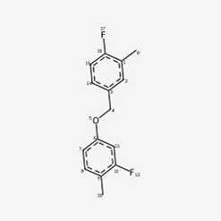 Cc1cc(COc2ccc(C)c(F)c2)ccc1F